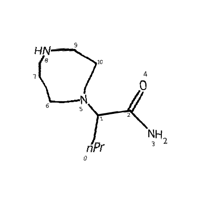 CCCC(C(N)=O)N1CCNCC1